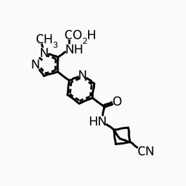 Cn1ncc(-c2ccc(C(=O)NC34CC(C#N)(C3)C4)cn2)c1NC(=O)O